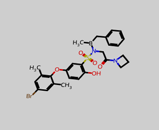 CB(Cc1ccccc1)N(CC(=O)N1CCC1)S(=O)(=O)c1cc(Oc2c(C)cc(Br)cc2C)ccc1O